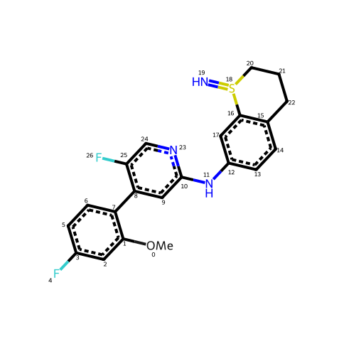 COc1cc(F)ccc1-c1cc(Nc2ccc3c(c2)S(=N)CCC3)ncc1F